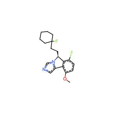 COc1ccc(F)c2c1-c1cncn1[C@H]2CCC1(F)CCCCC1